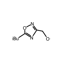 CCC(C)c1nc(C[O])no1